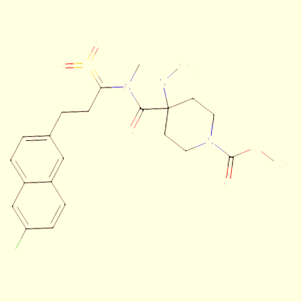 CCOC(=O)NC1(C(=O)N(C)C(CCc2ccc3cc(Cl)ccc3c2)=S(=O)=O)CCN(C(=O)OC(C)(C)C)CC1